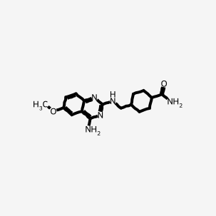 COc1ccc2nc(NCC3CCC(C(N)=O)CC3)nc(N)c2c1